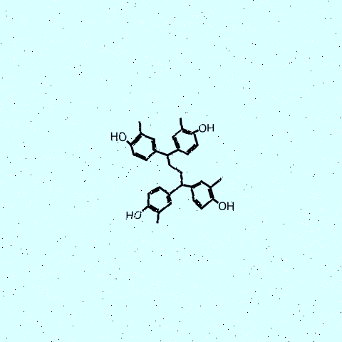 Cc1cc(C(CCC(c2ccc(O)c(C)c2)c2ccc(O)c(C)c2)c2ccc(O)c(C)c2)ccc1O